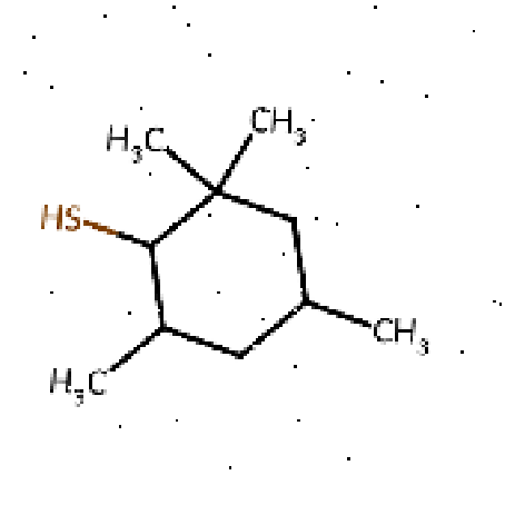 CC1CC(C)C(S)C(C)(C)C1